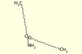 CCCCCCCCCCCCCCCCCCOC(CCCN)OCCCCCCCCCCCCCCCCCC